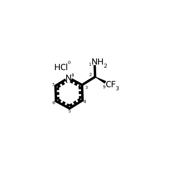 Cl.N[C@H](c1ccccn1)C(F)(F)F